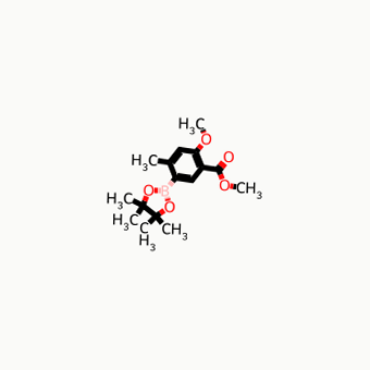 COC(=O)c1cc(B2OC(C)(C)C(C)(C)O2)c(C)cc1OC